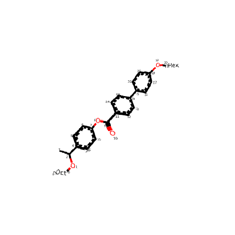 CCCCCCCCOC(C)c1ccc(OC(=O)c2ccc(-c3ccc(OCCCCCC)cc3)cc2)cc1